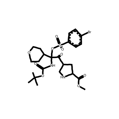 COC(=O)C1CC(C(=O)C(NC(=O)OC(C)(C)C)(OS(=O)(=O)c2ccc(Br)cc2)C2CCOCC2)CN1